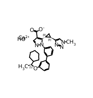 C[C@H](Oc1cccc(-c2cccc(-n3ncc(C(=O)[O-])c3[C@@H]3C[C@H]3c3cn(C)nn3)c2)c1)C1CCCCC1.[Ca+2].[OH-]